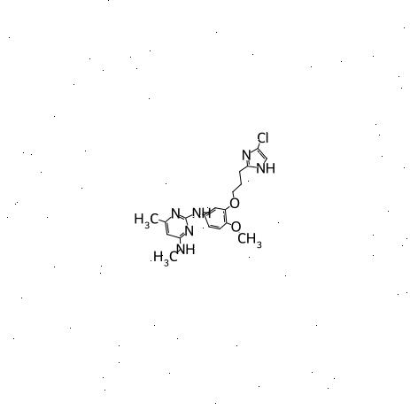 CNc1cc(C)nc(Nc2ccc(OC)c(OCCCc3nc(Cl)c[nH]3)c2)n1